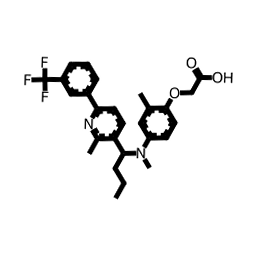 CCCC(c1ccc(-c2cccc(C(F)(F)F)c2)nc1C)N(C)c1ccc(OCC(=O)O)c(C)c1